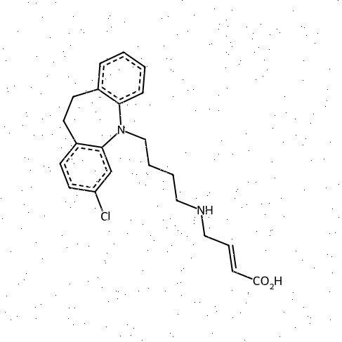 O=C(O)/C=C/CNCCCCN1c2ccccc2CCc2ccc(Cl)cc21